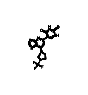 O=c1[nH]cc(-c2cc(N3CC[C@@H](C(F)(F)F)C3)c3nccn3n2)c(=O)[nH]1